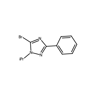 CC(C)n1nc(-c2ccccc2)nc1Br